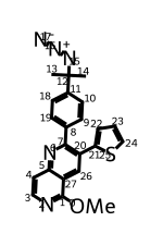 COc1nccc2nc(-c3ccc(C(C)(C)N=[N+]=[N-])cc3)c(-c3cccs3)cc12